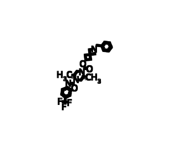 C[C@@H]1CN(c2nc3ccc(C(F)(F)F)cc3o2)[C@@H](C)CN1C(=O)OC1CC2(C1)CN(Cc1ccccc1)C2